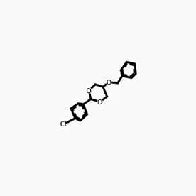 Clc1ccc(C2OCC(OCc3ccccc3)CO2)cc1